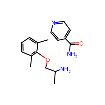 Cc1cccc(C)c1OCC(C)N.NC(=O)c1ccncc1